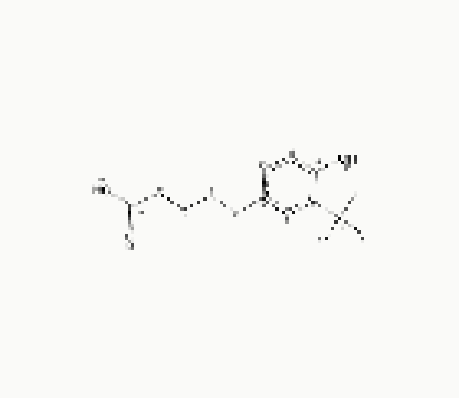 CC(C)(C)c1cc(CCCCC(=O)O)ccc1O